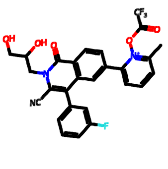 Cc1cccc(-c2ccc3c(=O)n(CC(O)CO)c(C#N)c(-c4cccc(F)c4)c3c2)[n+]1OC(=O)C(F)(F)F